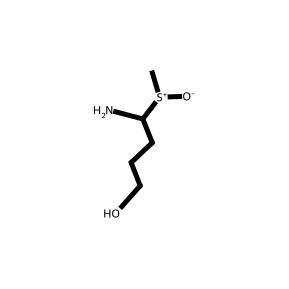 C[S+]([O-])C(N)CCCO